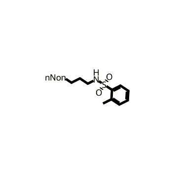 CCCCCCCCCCCCNS(=O)(=O)c1ccccc1C